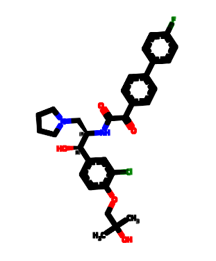 CC(C)(O)COc1ccc([C@@H](O)[C@@H](CN2CCCC2)NC(=O)C(=O)c2ccc(-c3ccc(F)cc3)cc2)cc1Cl